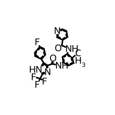 Cc1ccc(NC(=O)c2nc(C(F)(F)F)[nH]c2-c2ccc(F)cc2)cc1NC(=O)c1cccnc1